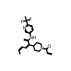 C=CC(=O)N1CCC(/C(=C/C=C\C)C(=C)Nc2ccc(C(C)(F)F)nc2)CC1